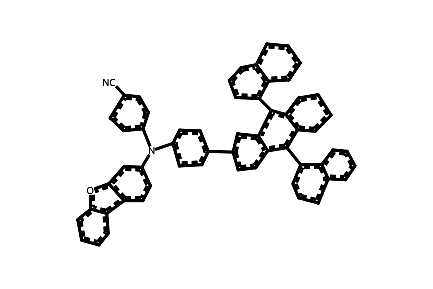 N#Cc1ccc(N(c2ccc(-c3ccc4c(-c5cccc6ccccc56)c5ccccc5c(-c5cccc6ccccc56)c4c3)cc2)c2ccc3c(c2)oc2ccccc23)cc1